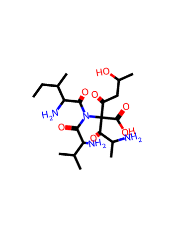 CCC(C)C(N)C(=O)N(C(=O)C(N)C(C)C)C(C(=O)O)(C(=O)CC(C)O)C(=O)C(C)N